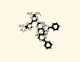 CC1(C)OC[C@@H]([C@H]2OC(C)(C)O[C@@H]2C(O)O[C@@H]2O[C@@H]3COC(c4ccccc4)O[C@H]3[C@H](OCc3ccccc3)[C@@H]2O)O1